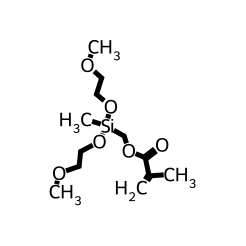 C=C(C)C(=O)OC[Si](C)(OCCOC)OCCOC